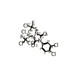 O=c1n(-c2ccc(Cl)c(Cl)c2)c(=O)n(SC(F)(Cl)C(Cl)(Cl)Cl)n1SC(F)(Cl)C(Cl)(Cl)Cl